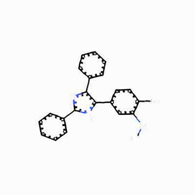 CC(C)Nc1cc(-c2[nH]c(-c3ccccc3)nc2-c2ccccc2)ccc1[N+](=O)[O-]